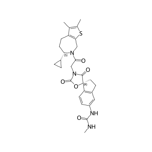 CNC(=O)Nc1ccc2c(c1)CC[C@@]21OC(=O)N(CC(=O)N2Cc3sc(C)c(C)c3CC[C@H]2C2CC2)C1=O